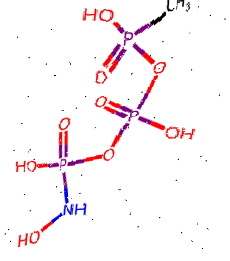 CP(=O)(O)OP(=O)(O)OP(=O)(O)NO